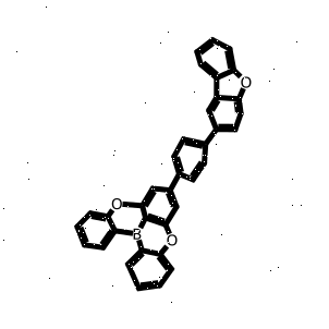 c1ccc2c(c1)Oc1cc(-c3ccc(-c4ccc5oc6ccccc6c5c4)cc3)cc3c1B2c1ccccc1O3